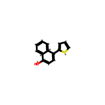 Oc1ccc(-c2cccs2)c2ccccc12